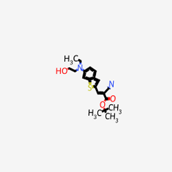 CCN(CCO)c1ccc2cc(/C=C(\C#N)C(=O)OC(C)(C)C)sc2c1